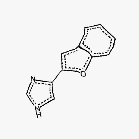 c1ccc2oc(-c3c[nH]cn3)cc2c1